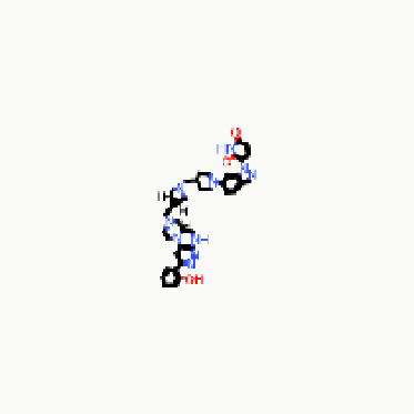 O=C1CCC(n2ncc3ccc(N4CCC(CN5C[C@@H]6C(CN7CCN8c9cc(-c%10ccccc%10O)nnc9NC[C@H]8C7)[C@@H]6C5)CC4)cc32)C(=O)N1